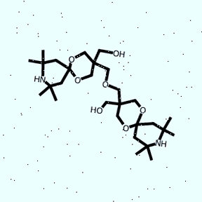 CC1(C)CC2(CC(C)(C)N1)OCC(CO)(COCC1(CO)COC3(CC(C)(C)NC(C)(C)C3)OC1)CO2